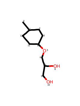 CC1CCC(OCC(O)CO)CC1